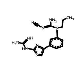 CCCN(C(N)=NC#N)c1cccc(-c2csc(NC(=N)N)n2)c1